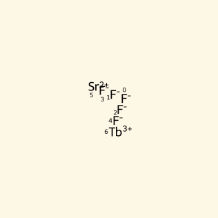 [F-].[F-].[F-].[F-].[F-].[Sr+2].[Tb+3]